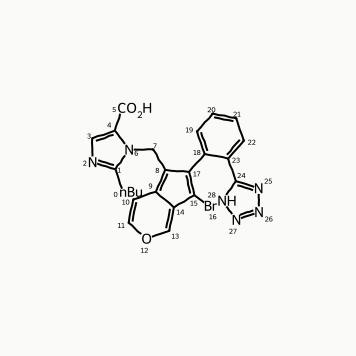 CCCCc1ncc(C(=O)O)n1Cc1c2ccocc-2c(Br)c1-c1ccccc1-c1nnn[nH]1